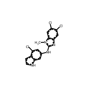 Cn1c(Nc2cc(Cl)c3cc[nH]c3c2)nc2cc(Cl)c(Cl)cc21